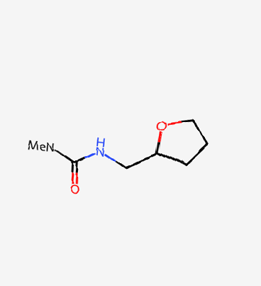 CNC(=O)NCC1CCCO1